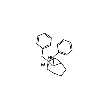 COC1(Nc2ccccc2)C2CCC1CN(Cc1ccccc1)C2